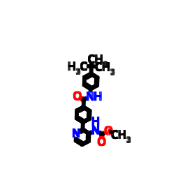 COC(=O)Nc1cccnc1-c1ccc(C(=O)Nc2ccc(C(C)(C)C)cc2)cc1